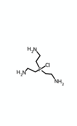 NCC[P](Cl)(CCN)CCN